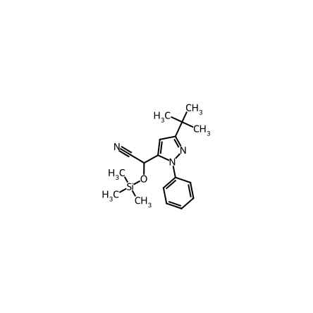 CC(C)(C)c1cc(C(C#N)O[Si](C)(C)C)n(-c2ccccc2)n1